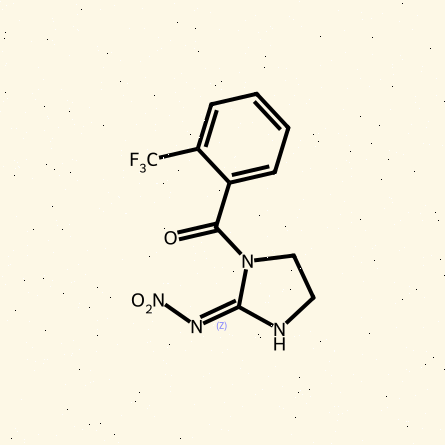 O=C(c1ccccc1C(F)(F)F)N1CCN/C1=N/[N+](=O)[O-]